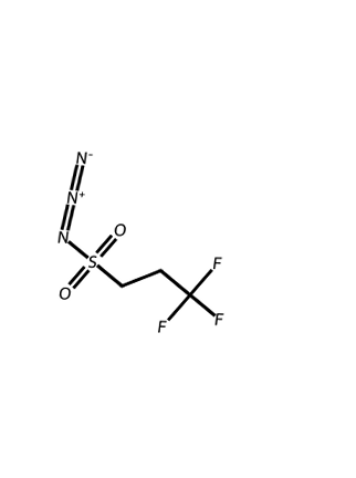 [N-]=[N+]=NS(=O)(=O)CCC(F)(F)F